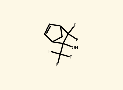 OC1(C(F)(F)F)C2C=CC(C2)C1(F)F